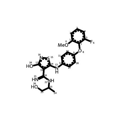 COc1cccc(F)c1Oc1ccc(Nc2snc(O)c2C(=N)NC(C)CO)cc1